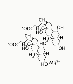 C[C@H](CCC(=O)[O-])[C@H]1CCC2C3C(C[C@H](O)[C@@]21C)[C@@]1(C)CC[C@@H](O)C[C@H]1C[C@H]3O.C[C@H](CCC(=O)[O-])[C@H]1CCC2C3C(C[C@H](O)[C@@]21C)[C@@]1(C)CC[C@@H](O)C[C@H]1C[C@H]3O.[Mg+2]